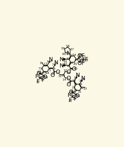 CC1=C(C#N)/C(=C(\C#N)C(=O)OCC(COC(=O)/C(C#N)=C2\CC(S(=O)(=O)C(F)(F)F)CC(C)=C2C#N)COC(=O)/C(C#N)=C2\CC(S(=O)(=O)C(F)(F)F)CC(N3CCCC3)=C2C#N)CC(S(=O)(=O)C(F)(F)F)C1